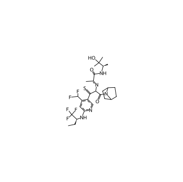 CC[C@H](Nc1cc(C(F)F)c(C(=S)C(/N=C(\C)C(=O)N[C@H](C)C(C)(C)O)C(=O)N2C3CCC2CC3)cn1)C(F)(F)F